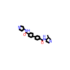 CC1C=NC=CC1NC(=O)c1ccc(-c2ccc(C(=O)Nc3ccncc3)cc2)cc1